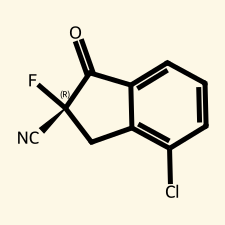 N#C[C@]1(F)Cc2c(Cl)cccc2C1=O